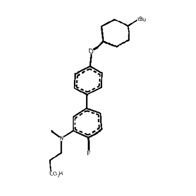 CN(CCC(=O)O)c1cc(-c2ccc(OC3CCC(C(C)(C)C)CC3)cc2)ccc1F